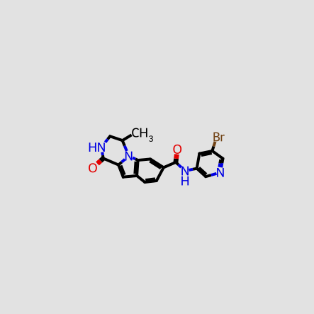 CC1CNC(=O)c2cc3ccc(C(=O)Nc4cncc(Br)c4)cc3n21